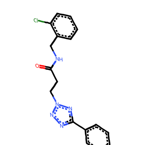 CCCc1ccc(-c2nnn(CCC(=O)NCc3ccccc3Cl)n2)cc1